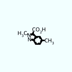 Cc1ccc2nn(C)c(C(=O)O)c2c1